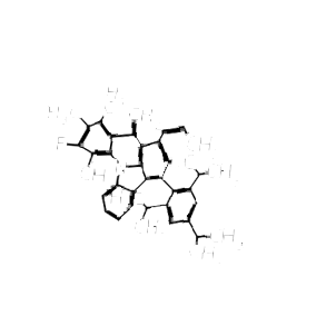 C=c1c2c(C)c(C)c(F)c(C)c2n2c3ccccc3c3c(-c4c(C(C)C)cc(C(C)C)cc4C(C)C)cc(/C=C\C)c1c32